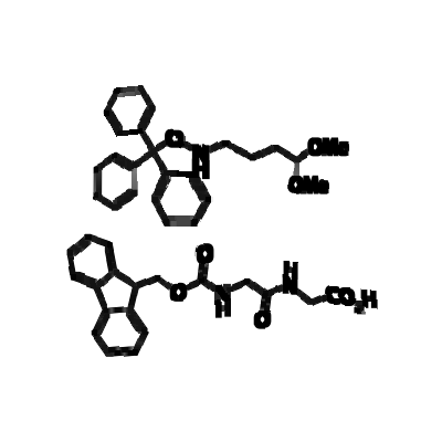 COC(CCCNOC(c1ccccc1)(c1ccccc1)c1ccccc1)OC.O=C(O)CNC(=O)CNC(=O)OCC1c2ccccc2-c2ccccc21